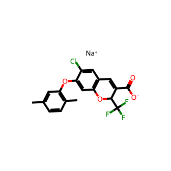 Cc1ccc(C)c(Oc2cc3c(cc2Cl)C=C(C(=O)[O-])C(C(F)(F)F)O3)c1.[Na+]